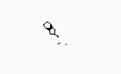 CCOC(C)OC(=O)C1CC2C3CCC(C3)C2C1